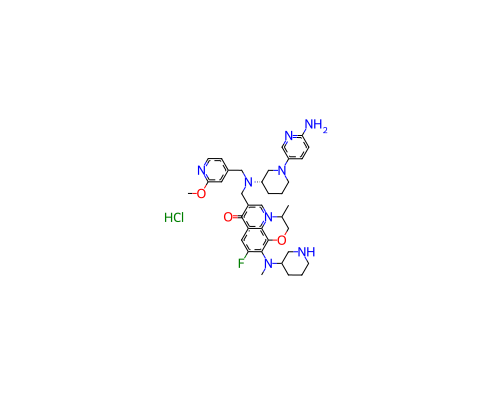 COc1cc(CN(Cc2cn3c4c(c(N(C)C5CCCNC5)c(F)cc4c2=O)OCC3C)[C@H]2CCCN(c3ccc(N)nc3)C2)ccn1.Cl